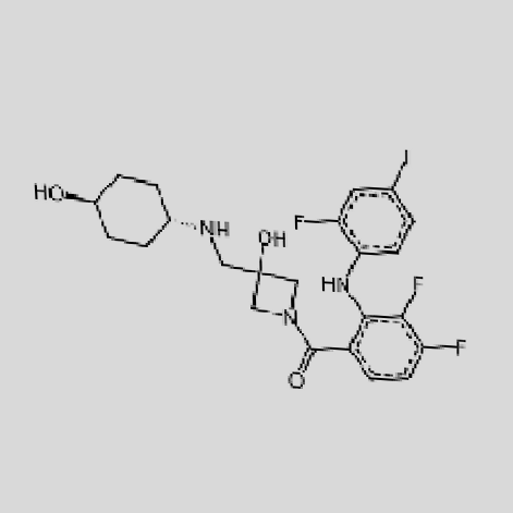 O=C(c1ccc(F)c(F)c1Nc1ccc(I)cc1F)N1CC(O)(CN[C@H]2CC[C@H](O)CC2)C1